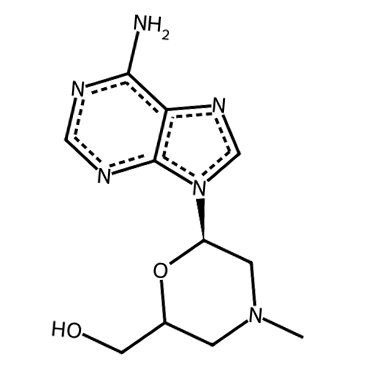 CN1CC(CO)O[C@@H](n2cnc3c(N)ncnc32)C1